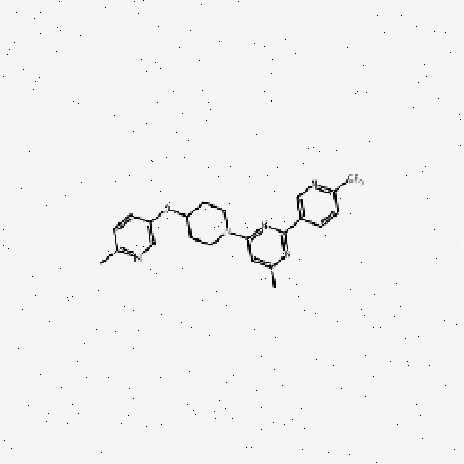 Cc1ccc(OC2CCN(c3cc(C)nc(-c4ccc(C(F)(F)F)nc4)n3)CC2)cn1